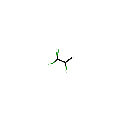 [CH2]C(Cl)C(Cl)Cl